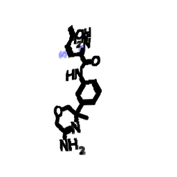 C=C(O)/C=C\C(=N/N)C(=O)Nc1cccc(C2(C)COCC(N)=N2)c1